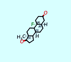 C[C@]12CCC3[C@@H](CC[C@@H]4CC(=O)CC[C@]34F)C1CCC2=O